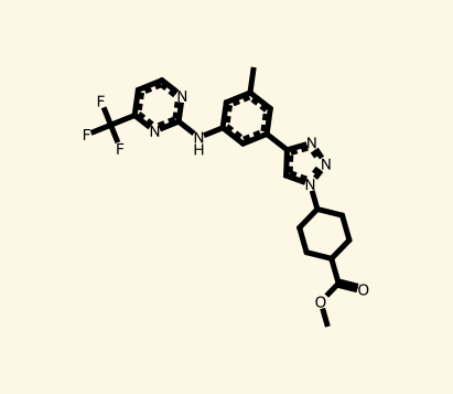 COC(=O)C1CCC(n2cc(-c3cc(C)cc(Nc4nccc(C(F)(F)F)n4)c3)nn2)CC1